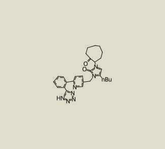 CCCCc1cn(C2CCCCCCC2=O)c(=O)n1Cc1ccc(-c2ccccc2-c2nnn[nH]2)nc1